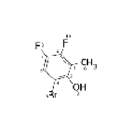 Cc1c(O)c(Br)cc(F)c1F